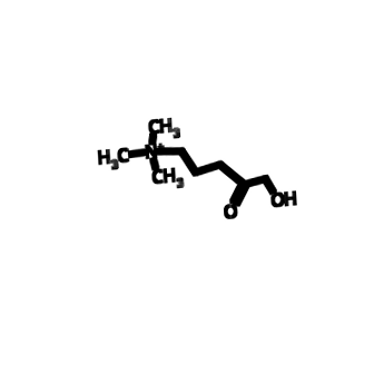 C[N+](C)(C)CCCC(=O)CO